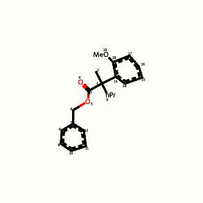 CCCC(C)(C(=O)OCc1ccccc1)c1ccccc1OC